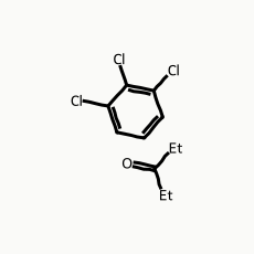 CCC(=O)CC.Clc1cccc(Cl)c1Cl